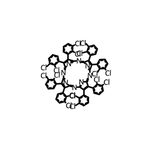 Clc1cccc(C2=C(c3cccc(Cl)c3Cl)/C3=N/C4=NC(=N\C5=NC(=N\C6=NC(=N\C2=N3)/C(c2cccc(Cl)c2Cl)=C6c2cccc(Cl)c2Cl)/C(c2cccc(Cl)c2Cl)=C5c2cccc(Cl)c2Cl)/C(c2cccc(Cl)c2Cl)=C4c2cccc(Cl)c2Cl)c1Cl